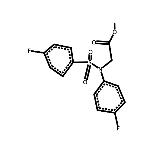 COC(=O)CN(c1ccc(F)cc1)S(=O)(=O)c1ccc(F)cc1